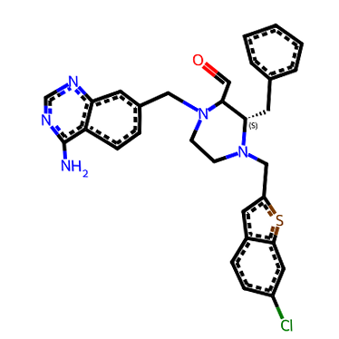 Nc1ncnc2cc(CN3CCN(Cc4cc5ccc(Cl)cc5s4)[C@@H](Cc4ccccc4)C3C=O)ccc12